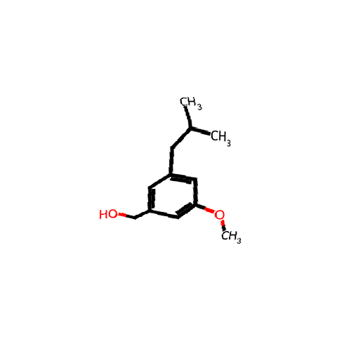 COc1cc(CO)cc(CC(C)C)c1